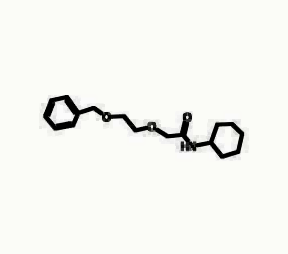 O=C(COCCOCc1ccccc1)NC1CCCCC1